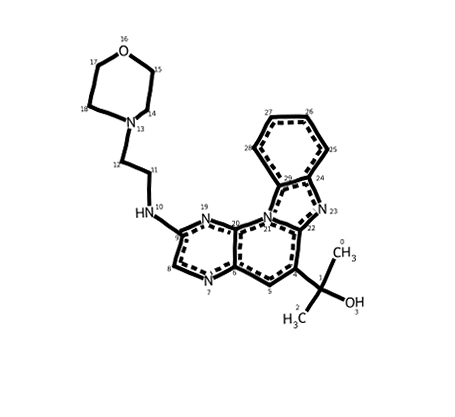 CC(C)(O)c1cc2ncc(NCCN3CCOCC3)nc2n2c1nc1ccccc12